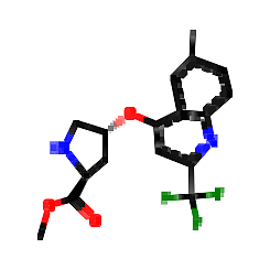 COC(=O)[C@@H]1C[C@@H](Oc2cc(C(F)(F)F)nc3ccc(C)cc23)CN1